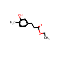 CCOC(=O)CCc1ccc(C)c(O)c1